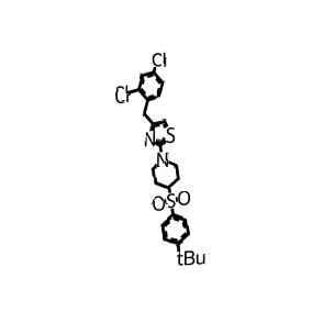 CC(C)(C)c1ccc(S(=O)(=O)C2CCN(c3nc(Cc4ccc(Cl)cc4Cl)cs3)CC2)cc1